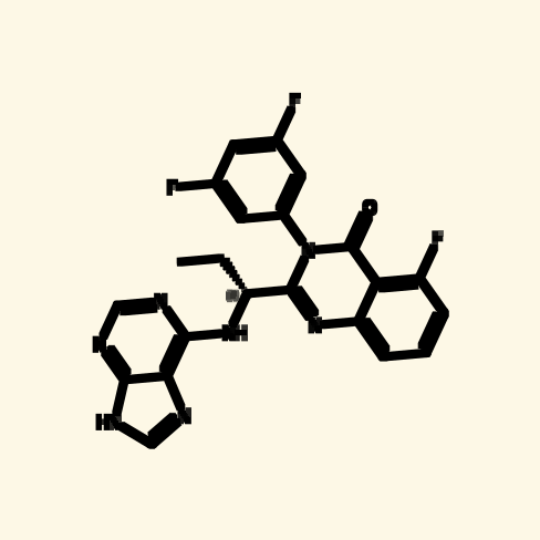 CC[C@@H](Nc1ncnc2[nH]cnc12)c1nc2cccc(F)c2c(=O)n1-c1cc(F)cc(F)c1